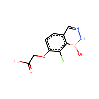 O=C(O)COc1ccc2c(c1F)B(O)NN=C2